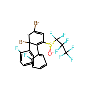 [O-][S+](C1=C(c2ccccc2F)C(Br)(c2ccccc2F)[CH]C(Br)=C1)C(F)(F)C(F)(F)C(F)(F)F